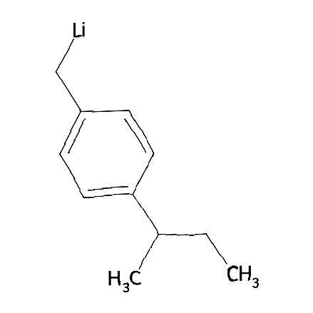 [Li][CH2]c1ccc(C(C)CC)cc1